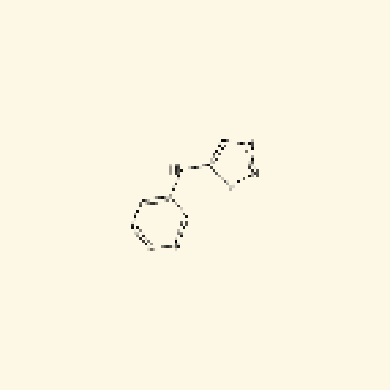 C1=C(Nc2cccnc2)[N]N=N1